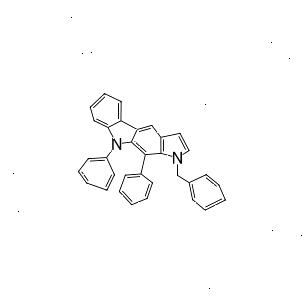 c1ccc(Cn2ccc3cc4c5ccccc5n(-c5ccccc5)c4c(-c4ccccc4)c32)cc1